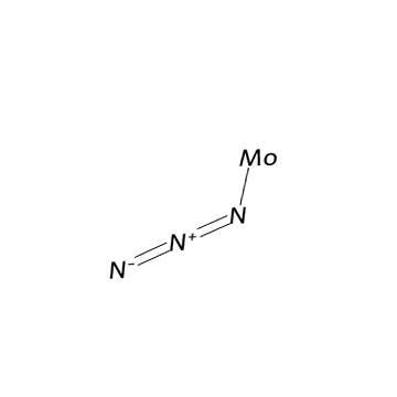 [N-]=[N+]=[N][Mo]